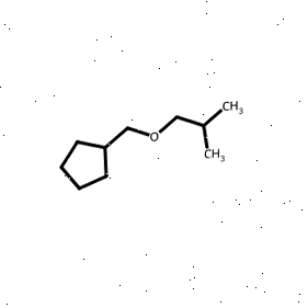 CC(C)COCC1CCCC1